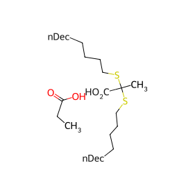 CCC(=O)O.CCCCCCCCCCCCCCSC(C)(SCCCCCCCCCCCCCC)C(=O)O